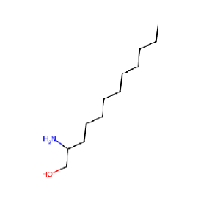 CCCCCCCCCCC(N)CO